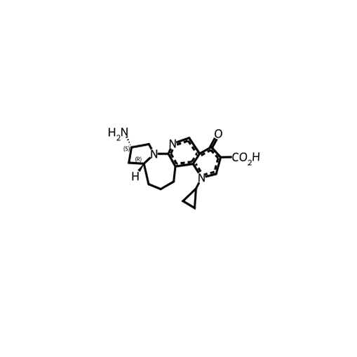 N[C@H]1C[C@H]2CCCc3c(ncc4c(=O)c(C(=O)O)cn(C5CC5)c34)N2C1